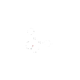 Cc1ccc(N(CN(c2ccccc2)c2ccccc2)c2ccccc2)cc1